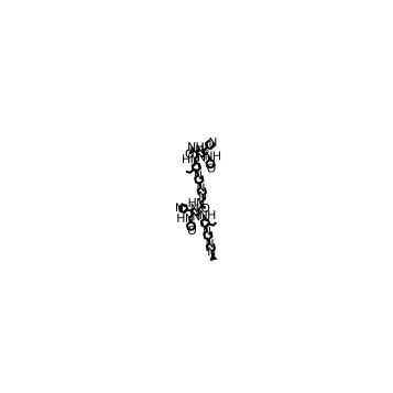 CCc1cc(Nc2nc(NC3CCOCC3)c(-c3ccncc3)nc2C(N)=O)ccc1N1CCC(N2CCN(CNC(=O)c3nc(-c4ccncc4)c(NC4CCOCC4)nc3Nc3ccc(N4CCC(N5CCN(C6CC6)CC5)CC4)c(CC)c3)CC2)CC1